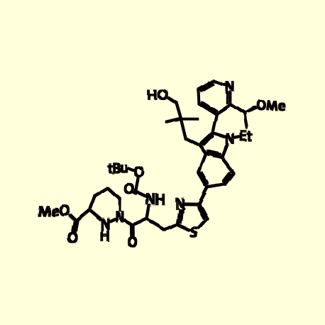 CCn1c(-c2cccnc2[C@H](C)OC)c(CC(C)(C)CO)c2cc(-c3csc(CC(NC(=O)OC(C)(C)C)C(=O)N4CCCC(C(=O)OC)N4)n3)ccc21